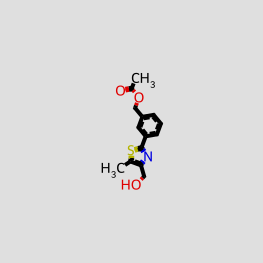 CC(=O)OCc1cccc(-c2nc(CO)c(C)s2)c1